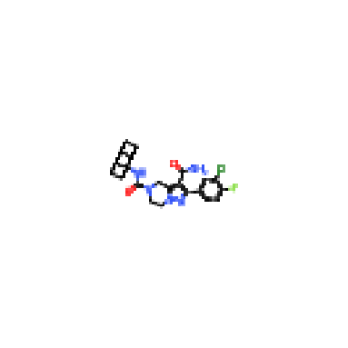 NC(=O)c1c(-c2ccc(F)c(Cl)c2)nn2c1CN(C(=O)NC13C4C5C6C4C1C6C53)CC2